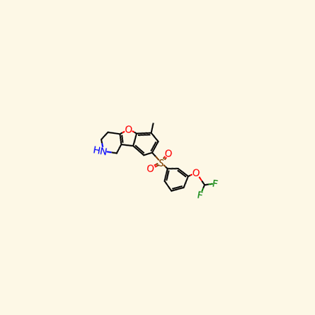 Cc1cc(S(=O)(=O)c2cccc(OC(F)F)c2)cc2c3c(oc12)CCNC3